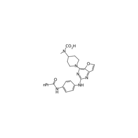 CCCC(=O)Nc1ccc(Nc2nc(N3CCC(N(C)C(=O)O)CC3)c3occc3n2)cc1